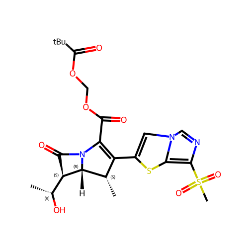 C[C@@H](O)[C@H]1C(=O)N2C(C(=O)OCOC(=O)C(C)(C)C)=C(c3cn4cnc(S(C)(=O)=O)c4s3)[C@H](C)[C@H]12